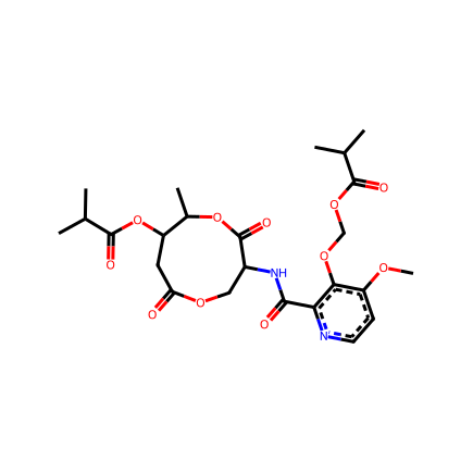 COc1ccnc(C(=O)NC2COC(=O)CC(OC(=O)C(C)C)C(C)OC2=O)c1OCOC(=O)C(C)C